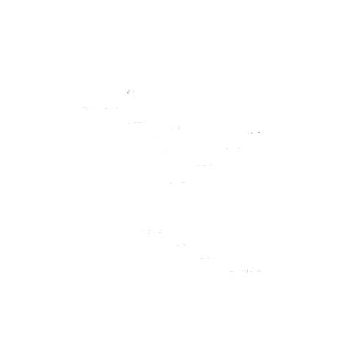 CCCCCCCCCCCCCCCC(=O)OCC(COP(=O)(O)OCC(N)C(=O)O)OC(=O)CCCCCCCCCCCCC